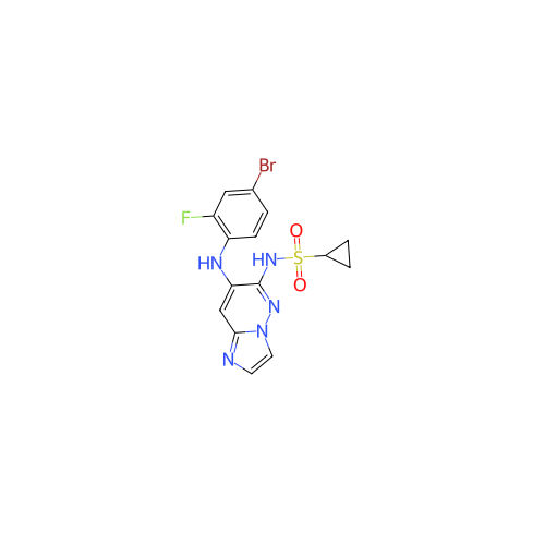 O=S(=O)(Nc1nn2ccnc2cc1Nc1ccc(Br)cc1F)C1CC1